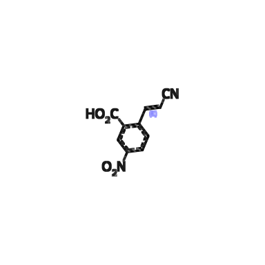 N#C/C=C/c1ccc([N+](=O)[O-])cc1C(=O)O